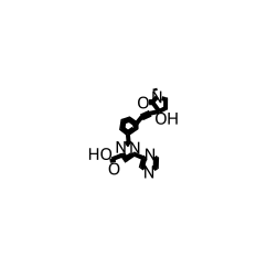 CN1CCC(O)(C#Cc2cccc(-c3nc(C(=O)O)cc(-c4cnccn4)n3)c2)C1=O